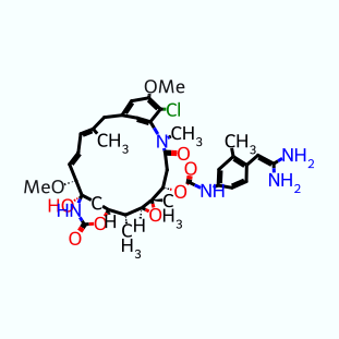 COc1cc2cc(c1Cl)N(C)C(=O)C[C@H](OC(=O)Nc1ccc(C=C(N)N)c(C)c1)[C@]1(C)O[C@H]1[C@H](C)[C@@H]1C[C@@](O)(NC(=O)O1)[C@H](OC)/C=C/C=C(\C)C2